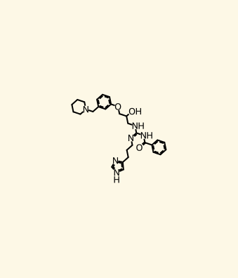 O=C(NC(=NCCCc1c[nH]cn1)NCC(O)COc1cccc(CN2CCCCC2)c1)c1ccccc1